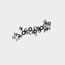 Cc1c(-c2nc3cc(COC(=O)[C@@H]4CCCN4)c(OC(F)F)cc3o2)cccc1-c1cccc(-c2nc3cc(CN(C)CC#N)cc(C#N)c3o2)c1C